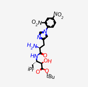 CC(C)C[C@H](NC(=O)[C@@H](N)Cc1cn(-c2ccc([N+](=O)[O-])cc2[N+](=O)[O-])cn1)C(O)C(=O)OC(C)(C)C